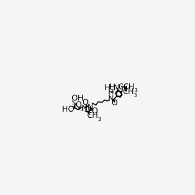 Cc1cn([C@H]2C[C@H](O)[C@@H](CO)O2)c(=O)n(CCCCCCNC(=O)c2ccc([N+](C)(C)C)c(N)c2)c1=O